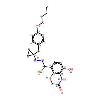 CCCCOc1ccc(CC2(NCC(O)c3ccc(O)c4c3OCC(=O)N4)CC2)cc1